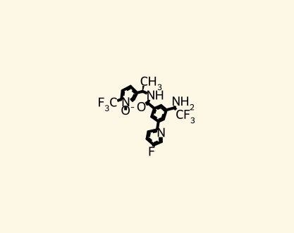 C[C@@H](NC(=O)c1cc(-c2ccc(F)cn2)cc(C(N)C(F)(F)F)c1)c1ccc(C(F)(F)F)[n+]([O-])c1